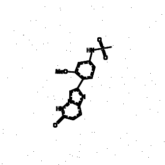 COc1cc(NS(C)(=O)=O)ccc1-c1cn2[nH]c(=O)ccc2n1